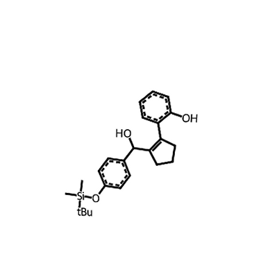 CC(C)(C)[Si](C)(C)Oc1ccc(C(O)C2=C(c3ccccc3O)CCC2)cc1